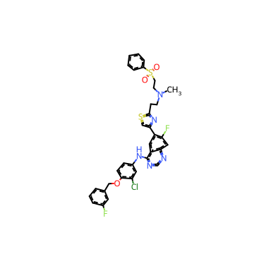 CN(CCc1nc(-c2cc3c(Nc4ccc(OCc5cccc(F)c5)c(Cl)c4)ncnc3cc2F)cs1)CCS(=O)(=O)c1ccccc1